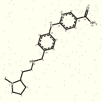 CN1CCCC1CCNCc1ccc(Oc2ccc(C(N)=O)cn2)cc1